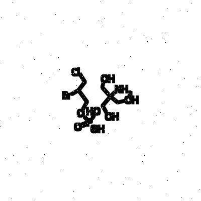 NC(CO)(CO)CO.O=P(O)(O)OCC(Br)CCl